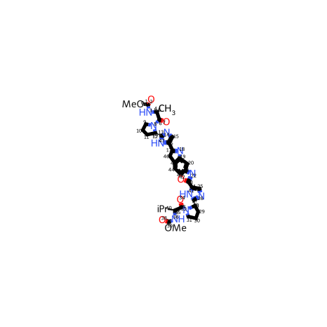 COC(=O)N[C@@H](C)C(=O)N1CCC[C@H]1c1ncc(C2=Nc3cc4nc(-c5cnc([C@@H]6CCCN6C(=O)[C@@H](NC(=O)OC)C(C)C)[nH]5)oc4cc3C2)[nH]1